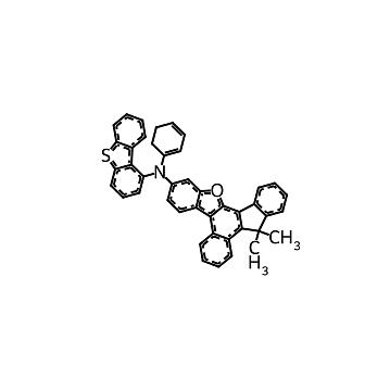 CC1(C)c2ccccc2-c2c1c1ccccc1c1c2oc2cc(N(C3=CC=CCC3)c3cccc4sc5ccccc5c34)ccc21